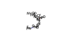 COC(=O)Nc1cc(C(F)(F)F)c(-c2nc(N3CC4(COC4)C3)c3cc(CN4CCN(C(=O)CNC(=O)/C=C/CN5CC(F)(F)C5)CC4)cn3n2)cn1